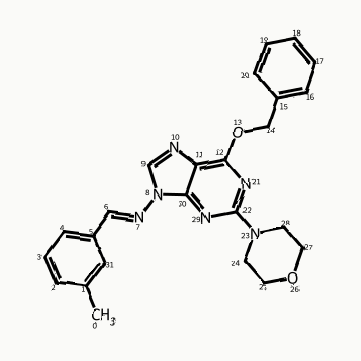 Cc1cccc(/C=N/n2cnc3c(OCc4ccccc4)nc(N4CCOCC4)nc32)c1